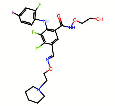 O=C(NOCCO)c1cc(C=NOCCN2CCCCC2)c(F)c(F)c1Nc1ccc(I)cc1F